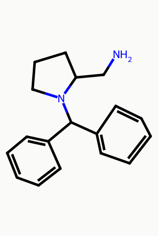 NCC1CCCN1C(c1ccccc1)c1ccccc1